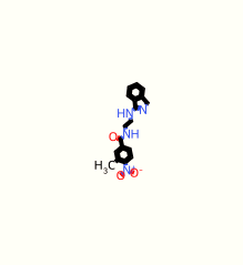 Cc1cc(C(=O)NCCNC2=NCc3ccccc32)ccc1[N+](=O)[O-]